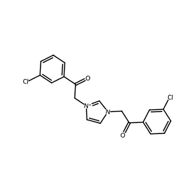 O=C(Cn1cc[n+](CC(=O)c2cccc(Cl)c2)c1)c1cccc(Cl)c1